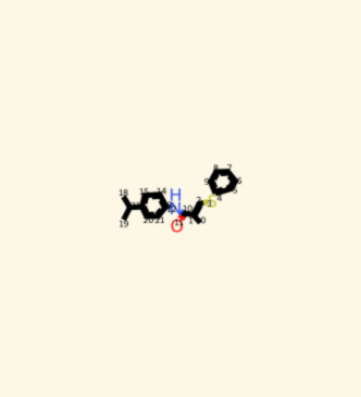 C/C(=C\Sc1ccccc1)C(=O)Nc1ccc(C(C)C)cc1